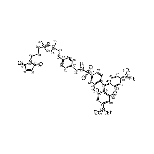 CCN(CC)c1ccc2c(-c3ccc(S(=O)(=O)NCc4cnc(SC[Si](C)(C)O[Si](C)(C)CCCN5C(=O)C=CC5=O)nc4)cc3S(=O)(=O)O)c3ccc(=[N+](CC)CC)cc-3oc2c1